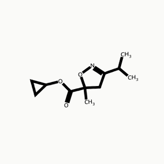 CC(C)C1=NOC(C)(C(=O)OC2CC2)C1